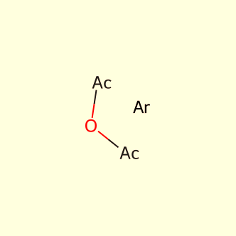 CC(=O)OC(C)=O.[Ar]